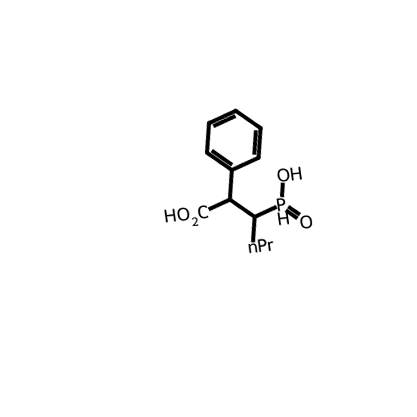 CCCC(C(C(=O)O)c1ccccc1)[PH](=O)O